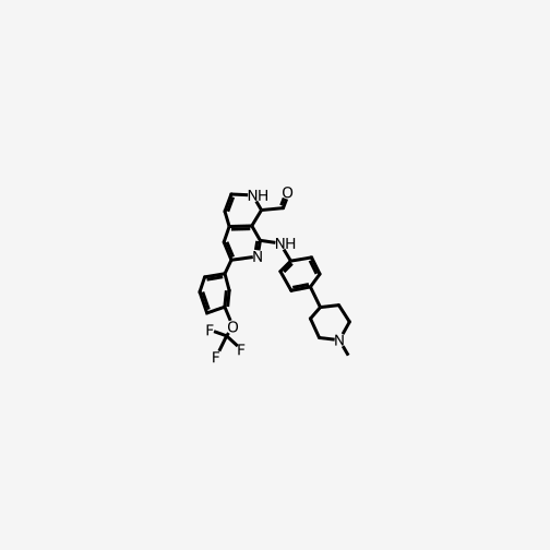 CN1CCC(c2ccc(Nc3nc(-c4cccc(OC(F)(F)F)c4)cc4c3C(C=O)NC=C4)cc2)CC1